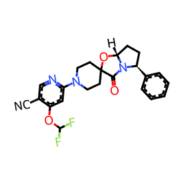 N#Cc1cnc(N2CCC3(CC2)O[C@@H]2CC[C@@H](c4ccccc4)N2C3=O)cc1OC(F)F